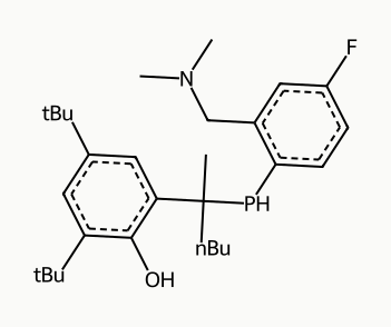 CCCCC(C)(Pc1ccc(F)cc1CN(C)C)c1cc(C(C)(C)C)cc(C(C)(C)C)c1O